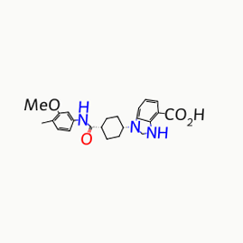 COc1cc(NC(=O)[C@H]2CC[C@@H](N3CNc4c(C(=O)O)cccc43)CC2)ccc1C